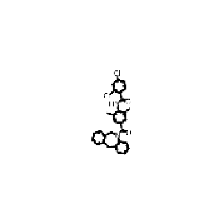 Cc1cc(C(=O)N2Cc3ccccc3Cc3ccccc32)cc(C)c1NC(=O)c1ccc(Cl)cc1Cl